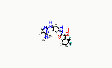 Cc1cnc(NC2CCC(NC(=O)C(O)c3cccc(F)c3F)CC2)nc1N(C)C